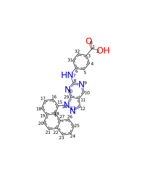 O=C(O)c1ccc(Nc2ncc3cnn(-c4cccc5ccc6ccccc6c45)c3n2)cc1